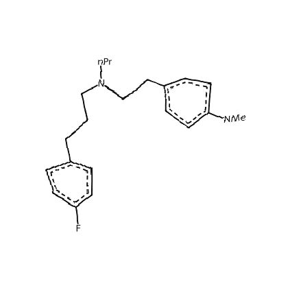 CCCN(CCCc1ccc(F)cc1)CCc1ccc(NC)cc1